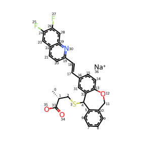 C[C@H](CSC1c2ccccc2COc2ccc(/C=C/c3ccc4cc(F)c(F)cc4n3)cc21)C(=O)[O-].[Na+]